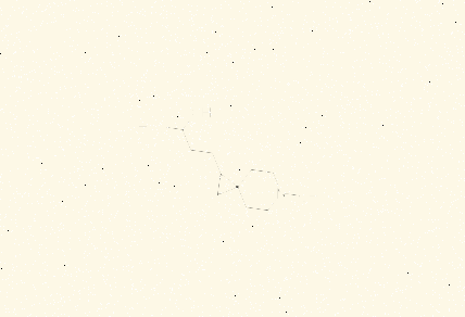 CC(C)CCC1CC12CCN(C)CC2